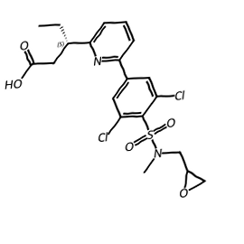 CC[C@@H](CC(=O)O)c1cccc(-c2cc(Cl)c(S(=O)(=O)N(C)CC3CO3)c(Cl)c2)n1